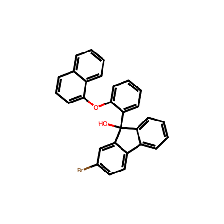 OC1(c2ccccc2Oc2cccc3ccccc23)c2ccccc2-c2ccc(Br)cc21